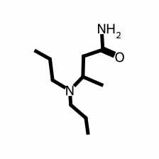 CCCN(CCC)C(C)CC(N)=O